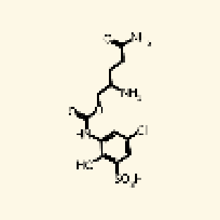 NC(=O)CCC(N)COC(=O)Nc1cc(Cl)cc(S(=O)(=O)O)c1O